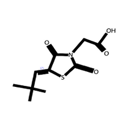 CC(C)(C)/C=C1\SC(=O)N(CC(=O)O)C1=O